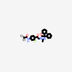 CCC(CC)C(=O)Nc1ccc(C(=O)CN2C(=O)C(c3ccccc3)(c3ccccc3)N=C2C)c(F)c1